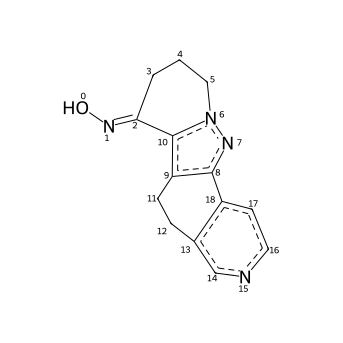 ON=C1CCCn2nc3c(c21)CCc1cnccc1-3